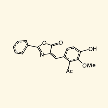 COc1c(O)ccc(C=C2N=C(c3ccccc3)OC2=O)c1C(C)=O